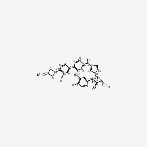 C=CC(=O)Nc1ccc(F)c(Nc2nc(Nc3cnn(C)c3)ncc2-c2ccc(N3CC(OC)C3)c(F)c2)c1